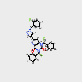 O=c1c2[nH]c(-c3cnn(Cc4ccccc4F)c3)cc2n(C(F)c2ccccc2)c(=O)n1C(F)c1ccccc1